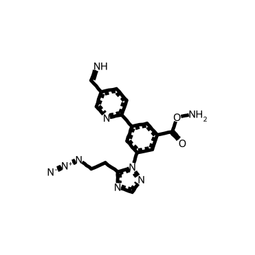 [N-]=[N+]=NCCc1ncnn1-c1cc(C(=O)ON)cc(-c2ccc(C=N)cn2)c1